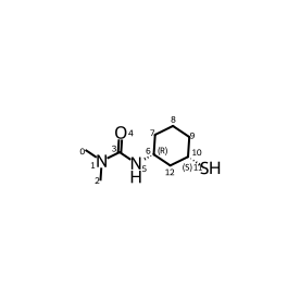 CN(C)C(=O)N[C@@H]1CCC[C@H](S)C1